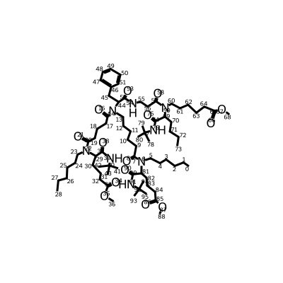 CCCCCCN(C(=O)CCCCCN(C(=O)CCCC(=O)N(CCCCCC)C(CCCC(=O)OC)C(=O)NC(C)(C)C)C(Cc1ccccc1)C(=O)NCCC(=O)N(CCCCCC(=O)OC)C(CCCC)C(=O)NC(C)(C)C)C(CCCC(=O)OC)C(=O)NC(C)(C)C